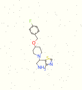 Cc1ncsc1C(CN)N1CCC(OCc2ccc(F)cc2)CC1